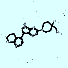 CC1(CN)CCN(c2cnc3c(-c4ccnc5c4CCCN5)n[nH]c3n2)CC1